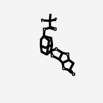 CC(F)(F)C(=O)OC12CC3CC(C1)C1(OC4OC5CC(=O)OC5C4O1)C(C3)C2